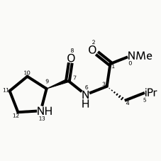 [CH2]NC(=O)[C@H](CC(C)C)NC(=O)[C@@H]1CCCN1